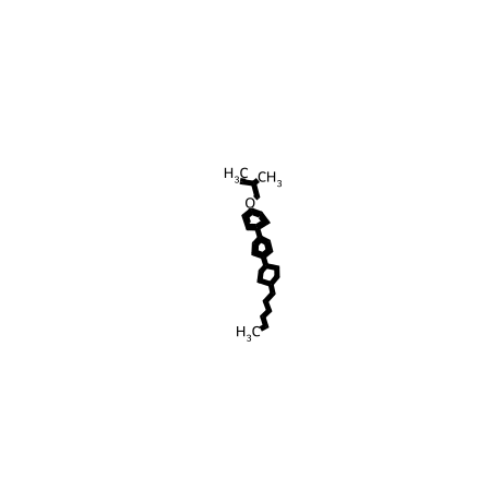 CCCCCCC1CCC(c2ccc(-c3ccc(OCC(C)CC)cc3)cc2)CC1